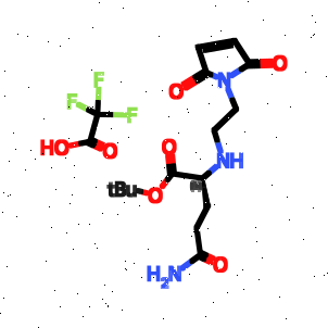 CC(C)(C)OC(=O)[C@H](CCC(N)=O)NCCN1C(=O)C=CC1=O.O=C(O)C(F)(F)F